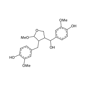 COc1cc(CC2C(OC)OCC2C(O)c2ccc(O)c(OC)c2)ccc1O